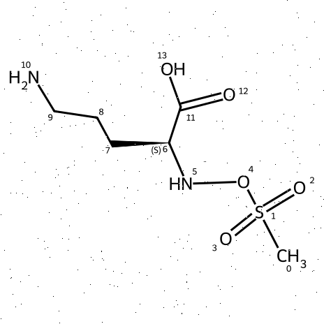 CS(=O)(=O)ON[C@@H](CCCN)C(=O)O